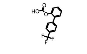 O=C(O)Oc1ccccc1-c1ccc(C(F)(F)F)cc1